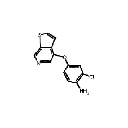 Nc1ccc(Oc2cncc3sccc23)cc1Cl